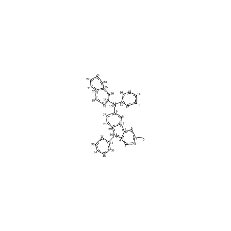 Cc1ccc2c(c1)c1cc(N(c3ccccc3)c3ccc4ccccc4c3)ccc1n2-c1ccccc1